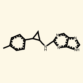 Cc1ccc(C2CC2Nc2ncc3nc[nH]c3n2)cc1